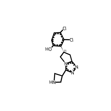 Oc1ccc(Cl)c(Cl)c1[C@@H]1Cc2nnc(C3CNC3)n2C1